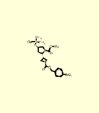 CC(C)(C)OC(=O)N1C[C@H](O[Si](C)(C)C(C)(C)C)C[C@H]1C1CN(C(=O)OCc2ccc([N+](=O)[O-])cc2)C1